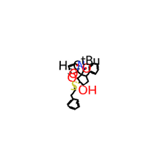 CN(C(=O)C1(C2CC=CCO2)C(=O)C(SCCc2ccccc2)C(O)CC1c1ccccc1)C(C)(C)C